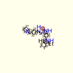 B=C(N[C@H](CC)c1ccccc1)c1ccc2c(c1)/C(=C/Nc1ccc(CN3CCCCC3)cc1)C(=O)N2